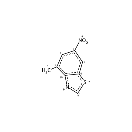 Cc1cc([N+](=O)[O-])cc2s[c]nc12